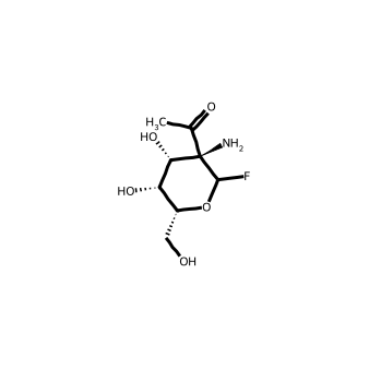 CC(=O)[C@]1(N)C(F)O[C@H](CO)[C@H](O)[C@@H]1O